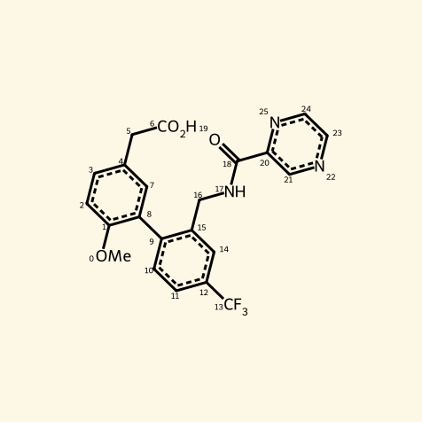 COc1ccc(CC(=O)O)cc1-c1ccc(C(F)(F)F)cc1CNC(=O)c1cnccn1